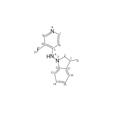 CC1CN(Nc2ccncc2F)c2ccccc21